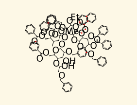 CCOC1OC(COC(=O)c2ccccc2)C(OC2OC(COCc3ccccc3)C(OC(=O)c3ccccc3)C(OCc3ccccc3)C2OCc2ccccc2)C(OC(OC)(OC(=O)c2ccccc2)[C@H](OC2OC(COC(=O)c3ccccc3)C(O[C@@H](O)COCc3ccccc3)C(O)C2OCc2ccccc2)C(C)[C@@H](COC(=O)c2ccccc2)OC(=O)c2ccccc2)C1OCc1ccccc1